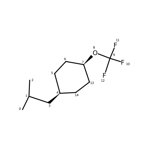 CC(C)C[C@H]1CC[C@@H](OC(F)(F)F)CC1